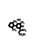 CCOC(=O)CC(N)c1cc(-c2c(C)cccc2C)cc(C(F)(F)F)c1F.Cl